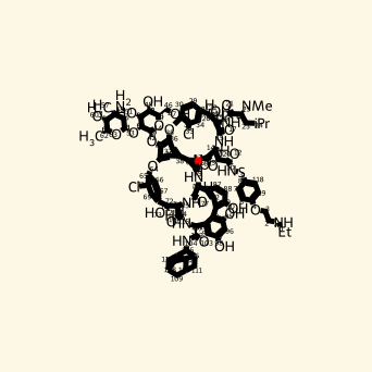 CCNCCOc1ccc(SNC(=O)C[C@@H]2NC(=O)[C@H](NC(=O)[C@H](CC(C)C)NC)[C@H](O)c3ccc(c(Cl)c3)Oc3cc4cc(c3O[C@@H]3O[C@H](CO)[C@H](O)[C@H](O)[C@@H]3O[C@H]3C[C@](C)(N)[C@H](O)[C@H](C)O3)Oc3ccc(cc3Cl)[C@H](O)[C@H]3NC(=O)[C@@H](NC(=O)[C@@H]4NC2=O)c2ccc(O)c(c2)-c2c(O)cc(O)cc2[C@@H](C(=O)NC2C4CC5CC(C4)CC2C5)NC3=O)cc1